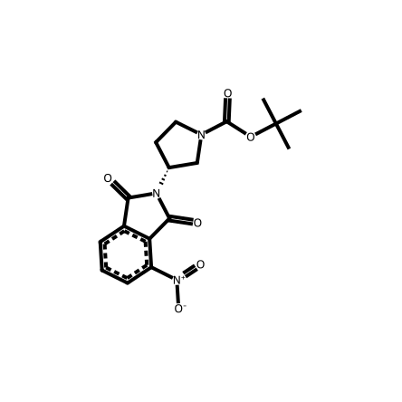 CC(C)(C)OC(=O)N1CC[C@@H](N2C(=O)c3cccc([N+](=O)[O-])c3C2=O)C1